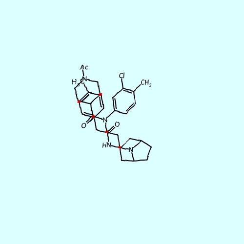 CC(=O)N1CCC(C(=O)N(CCCN2C3CCC2CC(NC(=O)Cc2ccc(C)cc2)C3)c2ccc(C)c(Cl)c2)CC1